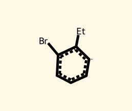 CCc1[c]cccc1Br